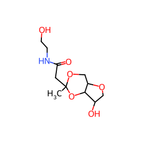 CC1(CC(=O)NCCO)OCC2OCC(O)C2O1